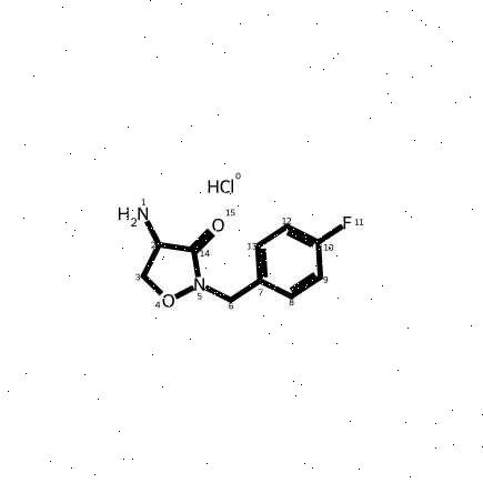 Cl.NC1CON(Cc2ccc(F)cc2)C1=O